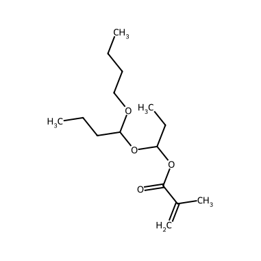 C=C(C)C(=O)OC(CC)OC(CCC)OCCCC